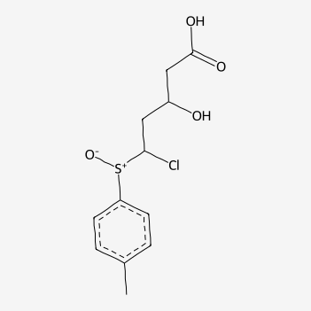 Cc1ccc([S+]([O-])C(Cl)CC(O)CC(=O)O)cc1